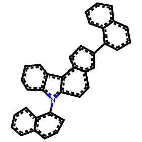 c1ccc2c(-c3ccc4c(ccc5c4c4ccccc4n5-c4cccc5ccccc45)c3)cccc2c1